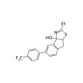 CCC1=NC2(O)c3cc(-c4ccc(C(F)(F)F)cc4)ccc3CC2S1